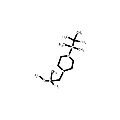 CO[Si](C)(C)CN1CCN([Si](C)(C)C(C)(C)C)CC1